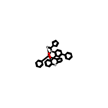 O=C(C1C=CC=C1)N1c2ccc(-c3ccccc3)cc2C2(c3ccccc3Oc3ccccc32)c2cc(-c3ccccc3)ccc21